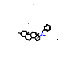 CC1CCC2(C)C(CCC3C2CCC2(C)C3CC[C@@H]2N(C)Cc2ccccc2)C1